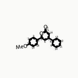 COc1ccc(-c2cc(-c3ccccc3)cc(=O)o2)cc1